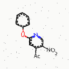 CC(=O)c1cc(Oc2ccccc2)ncc1[N+](=O)[O-]